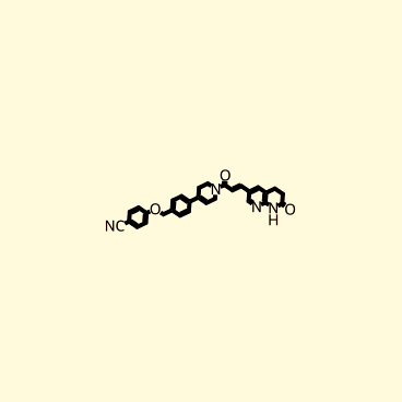 N#Cc1ccc(OCc2ccc(C3=CCN(C(=O)/C=C/c4cnc5c(c4)CCC(=O)N5)CC3)cc2)cc1